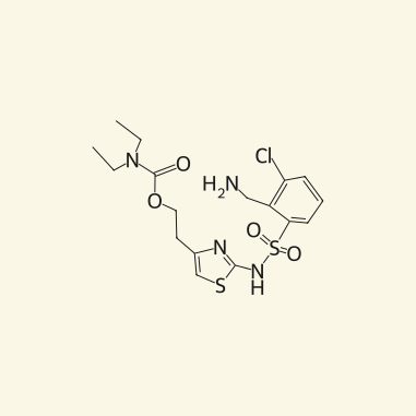 CCN(CC)C(=O)OCCc1csc(NS(=O)(=O)c2cccc(Cl)c2CN)n1